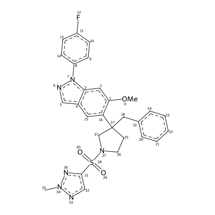 COc1cc2c(cnn2-c2ccc(F)cc2)cc1C1(Cc2ccccc2)CCN(S(=O)(=O)c2cnn(C)n2)C1